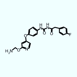 NCOc1cc(Oc2ccc(NC(=O)NC(=O)Cc3ccc(F)cc3)cc2)ccn1